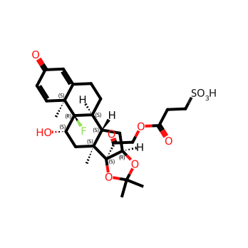 CC1(C)O[C@@H]2C[C@H]3[C@@H]4CCC5=CC(=O)C=C[C@]5(C)[C@@]4(F)[C@@H](O)C[C@]3(C)[C@]2(C(=O)COC(=O)CCS(=O)(=O)O)O1